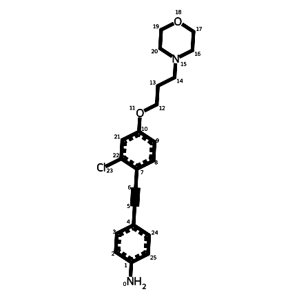 Nc1ccc(C#Cc2ccc(OCCCN3CCOCC3)cc2Cl)cc1